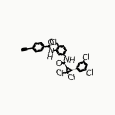 C#Cc1ccc(C(=O)Nc2cc(NC(=O)[C@H]3[C@H](c4cc(Cl)cc(Cl)c4)C3(Cl)Cl)ccc2Cl)cc1